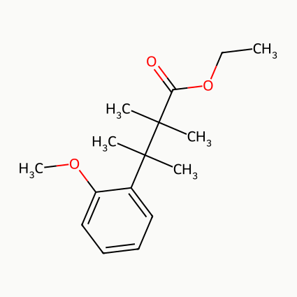 CCOC(=O)C(C)(C)C(C)(C)c1ccccc1OC